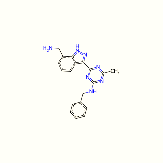 Cc1nc(NCc2ccccc2)nc(-c2n[nH]c3c(CN)cccc23)n1